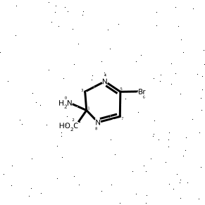 NC1(C(=O)O)CN=C(Br)C=N1